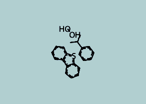 CC(C)c1ccccc1.OO.c1ccc2c(c1)sc1ccccc12